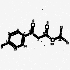 Cc1ccc(C(=O)CC(=O)OC(C)C)cc1